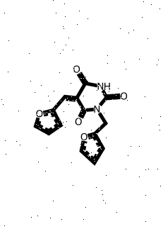 O=C1NC(=O)N(Cc2ccco2)C(=O)/C1=C\c1ccco1